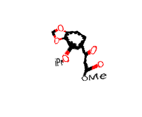 COC(=O)CC(=O)c1ccc2c(c1OC(C)C)OCO2